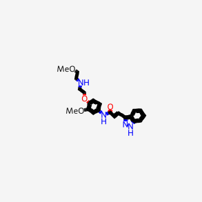 COCCNCCOc1ccc(NC(=O)C=Cc2n[nH]c3ccccc23)cc1OC